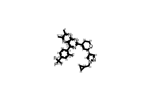 Cc1nc2nc(C3=C[C@H](c4cnn(CC5CC5)c4)OCC3)nc(-c3ccc(C(F)(F)F)cc3F)c2nc1C